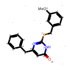 COc1cccc(CSc2nc(Cc3ccccc3)cc(=O)[nH]2)c1